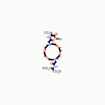 CCOC(=O)C(NC(=O)CN1CCOCCOCCN(CC(=O)NC(C(=O)O)C(=O)OC(C)CC)CCOCCOCC1)C(=O)OCC